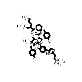 CC=CCC(CC(=O)O)C(=O)N1CCC[C@](Cc2ccc(Cl)cc2)(NC(=O)[C@@H]2COC(C)(C)N2C(=O)[C@H](C)NCc2ccc(Cl)cc2Oc2ccc(-c3cnc(CCN(C)C)[nH]3)cc2)C1